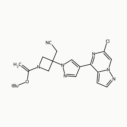 C=C(OC(C)(C)C)N1CC(CC#N)(n2cc(-c3nc(Cl)cn4nccc34)cn2)C1